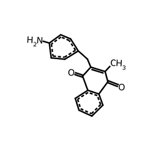 CC1=C(Cc2ccc(N)cc2)C(=O)c2ccccc2C1=O